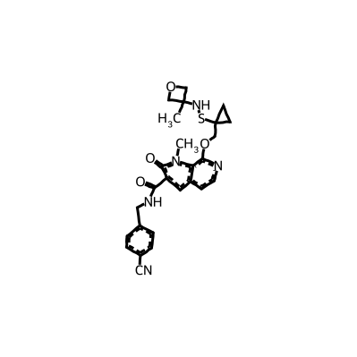 Cn1c(=O)c(C(=O)NCc2ccc(C#N)cc2)cc2ccnc(OCC3(SNC4(C)COC4)CC3)c21